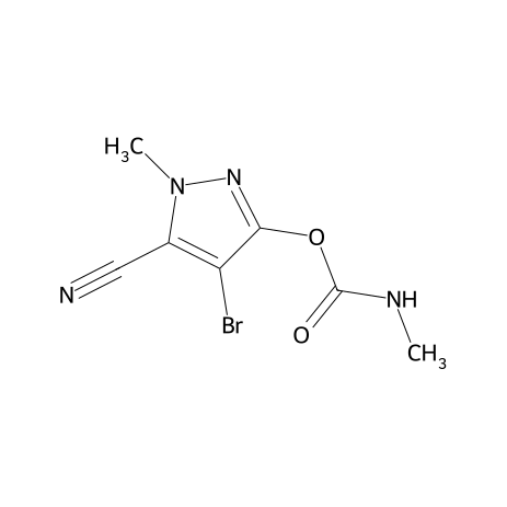 CNC(=O)Oc1nn(C)c(C#N)c1Br